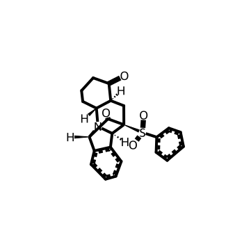 O=C1CCC[C@@H]2[C@@H]1C[C@@]1(S(=O)(=O)c3ccccc3)C(=O)[C@@H]3c4ccccc4[C@H]1N32